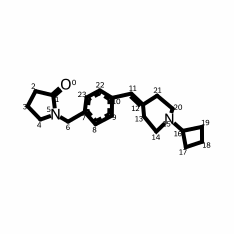 O=C1CCCN1Cc1ccc(C=C2CCN(C3CCC3)CC2)cc1